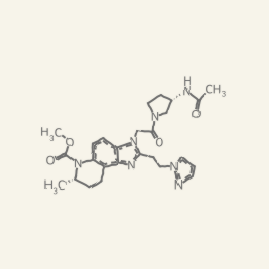 COC(=O)N1c2ccc3c(nc(CCn4cccn4)n3CC(=O)N3CC[C@H](NC(C)=O)C3)c2CC[C@@H]1C